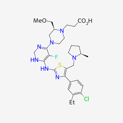 CCc1cc(-c2nc(NC3=C(F)C(N4CCN(CCC(=O)O)[C@H](COC)C4)=NCN3)sc2CN2CCC[C@H]2C)ccc1Cl